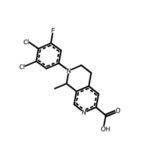 CC1c2cnc(C(=O)O)cc2CCN1c1cc(F)c(Cl)c(Cl)c1